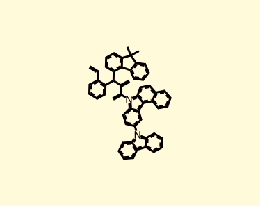 C=Cc1ccccc1C(C(=C)C(=C)n1c2ccc(-n3c4ccccc4c4ccccc43)cc2c2c3ccccc3ccc21)c1cccc2c1-c1ccccc1C2(C)C